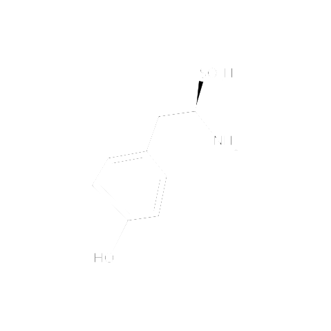 N[C@@H](Cc1ccc(O)cc1)S(=O)(=O)O